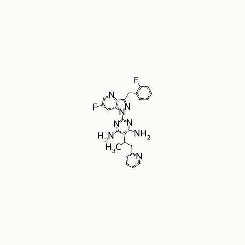 CC(Cc1ccccn1)c1c(N)nc(-n2nc(Cc3ccccc3F)c3ncc(F)cc32)nc1N